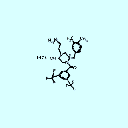 Cc1ccc(C[C@@H]2CN(CCN)CCN2C(=O)c2cc(C(F)(F)F)cc(C(F)(F)F)c2)cc1C.Cl.Cl